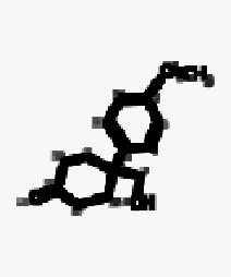 COc1ccc(C2(CO)CCC(=O)CC2)cc1